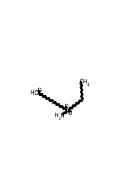 CCCCCCCC/C=C\CCCCCCCC(=O)N(CCN)C(=O)CCCCCC/C=C/CCCCCCCC(=O)O